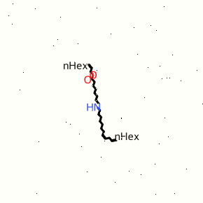 CCCCCC/C=C\C/C=C\CCCCCCCNCCCCCCCC(=O)OC/C=C\CCCCCC